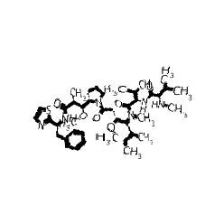 CCC(C)[C@@H]([C@@H](CC(=O)N1CCC[C@H]1[C@H](OC)[C@@H](C)C(=O)N[C@@H](Cc1ccccc1)c1nccs1)OC)N(C)C(=O)[C@@H](NC(=O)[C@@H](NC)C(C)C)C(C)C